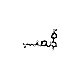 COc1ccc(C2=NN(Cc3cccc(NC(=O)OCCCN(C)C)c3)C(=O)SC2)cc1